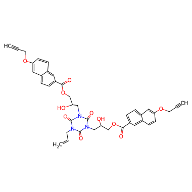 C#CCOc1ccc2cc(C(=O)OCC(O)Cn3c(=O)n(CC=C)c(=O)n(CC(O)COC(=O)c4ccc5cc(OCC#C)ccc5c4)c3=O)ccc2c1